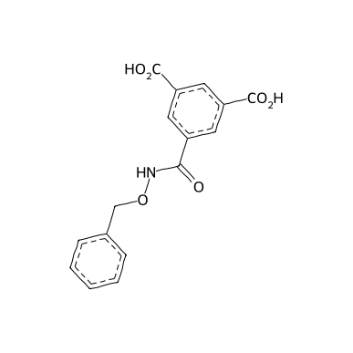 O=C(O)c1cc(C(=O)O)cc(C(=O)NOCc2ccccc2)c1